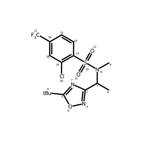 CC(c1noc(C(C)(C)C)n1)N(C)S(=O)(=O)c1ccc(C(F)(F)F)cc1Cl